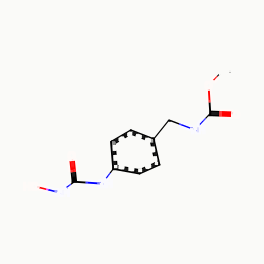 CC(C)(C)OC(=O)NCc1ccc(NC(=O)NO)cc1